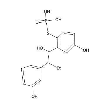 CCC(c1cccc(O)c1)C(O)c1cc(O)ccc1SP(=O)(O)O